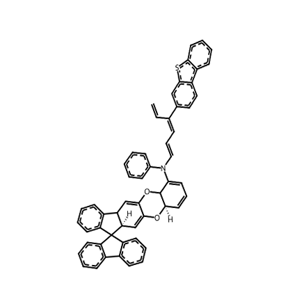 C=C/C(=C\C=C\N(C1=CC=C[C@H]2OC3=C[C@@H]4C(C=C3OC12)c1ccccc1C41c2ccccc2-c2ccccc21)c1ccccc1)c1ccc2c(c1)sc1ccccc12